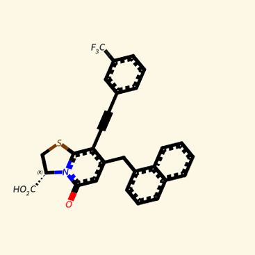 O=C(O)[C@@H]1CSc2c(C#Cc3cccc(C(F)(F)F)c3)c(Cc3cccc4ccccc34)cc(=O)n21